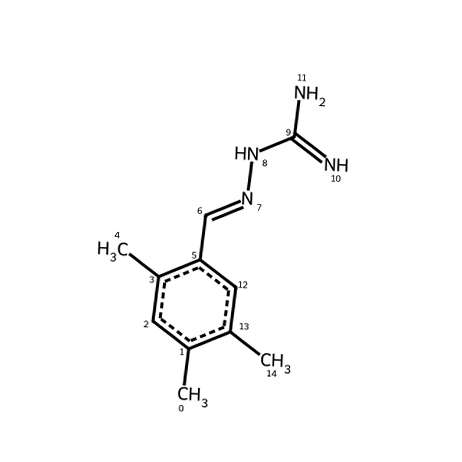 Cc1cc(C)c(/C=N/NC(=N)N)cc1C